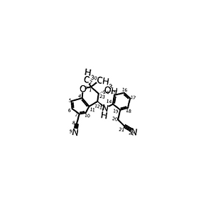 CC1(C)Oc2ccc(C#N)cc2[C@H](Nc2ccccc2CC#N)[C@H]1O